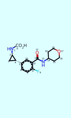 O=C(O)N[C@@H]1C[C@H]1c1ccc(F)c(C(=O)NC2CCOCC2)c1